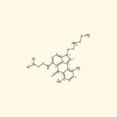 CCN(CC)CCNc1ccc2c3c(nn2CCNCCO)-c2c(O)ccc(O)c2C(=O)c13